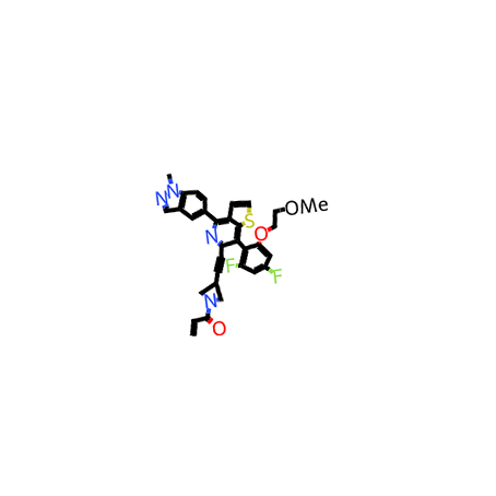 C=CC(=O)N1CC(C#Cc2nc(-c3ccc4c(cnn4C)c3)c3ccsc3c2-c2c(F)cc(F)cc2OCCOC)C1